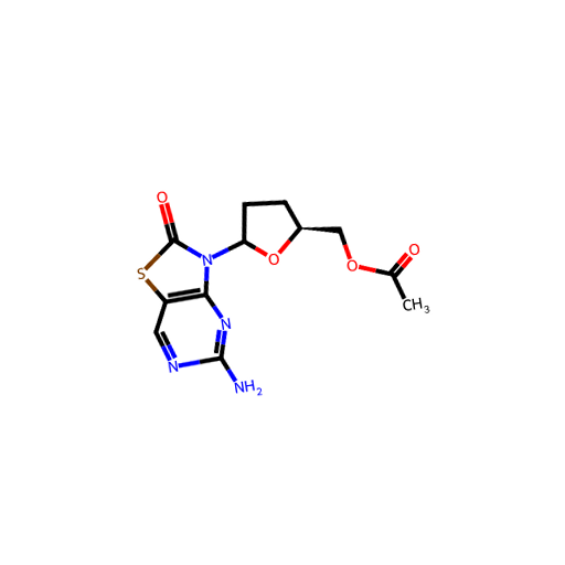 CC(=O)OC[C@@H]1CCC(n2c(=O)sc3cnc(N)nc32)O1